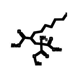 COC(=O)C(CCCCCCI)CC(N)(C(=O)OC)C(=O)OC(C)(C)C